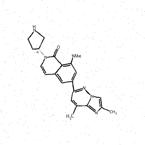 CNc1cc(-c2cc(C)c3nc(C)cn3n2)cc2ccn([C@@H]3CCNC3)c(=O)c12